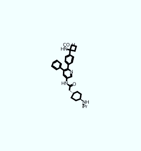 CC(C)N[C@H]1CC[C@H](CC(=O)Nc2cnc(-c3ccc(C4(NC(=O)O)CCC4)cc3)c(-c3ccccc3)c2)CC1